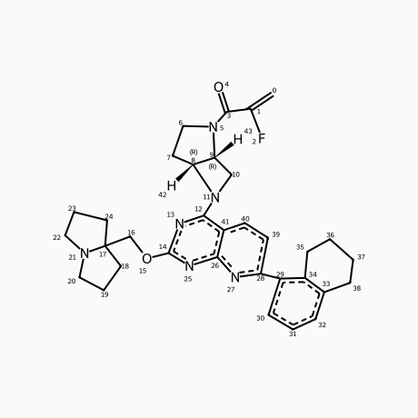 C=C(F)C(=O)N1CC[C@@H]2[C@H]1CN2c1nc(OCC23CCCN2CCC3)nc2nc(-c3cccc4c3CCCC4)ccc12